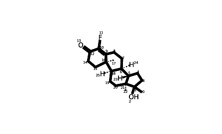 CC1(O)CC[C@H]2[C@@H]3CCC4=C(F)C(=O)CC[C@]4(C)[C@@H]3CC[C@@]21C